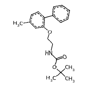 Cc1ccc(-c2ccccc2)c(OCCNC(=O)OC(C)(C)C)c1